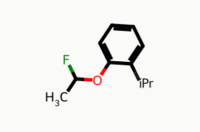 CC(F)Oc1ccccc1C(C)C